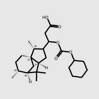 C[C@@H]1CC[C@@]23C[C@H]1C(C)(C)[C@@H]2CC(C(CC(=O)O)OC(=O)OC1CCCCC1)[C@H]3C